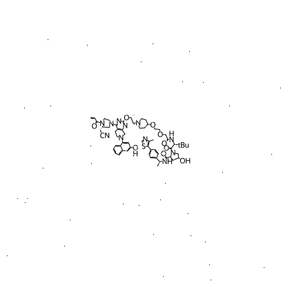 C=CC(=O)N1CCN(c2nc(O[C@H](C)CN3CCC(OCCOCC(=O)N[C@H](C(=O)N4CC(O)CC4C(=O)N[C@@H](C)c4ccc(-c5scnc5C)cc4)C(C)(C)C)CC3)nc3c2CCN(c2cc(O)cc4ccccc24)C3)C[C@@H]1CC#N